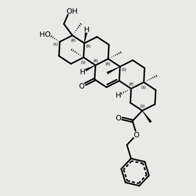 C[C@]1(C(=O)OCc2ccccc2)CC[C@]2(C)CC[C@]3(C)C(=CC(=O)[C@@H]4[C@@]5(C)CC[C@H](O)[C@@](C)(CO)[C@@H]5CC[C@]43C)[C@@H]2C1